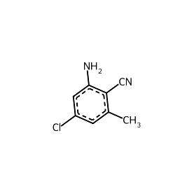 Cc1cc(Cl)cc(N)c1C#N